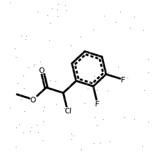 COC(=O)C(Cl)c1cccc(F)c1F